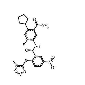 Cn1nnnc1Sc1ccc([N+](=O)[O-])cc1C(=O)Nc1cc(C(N)=O)c(C2CCCC2)cc1F